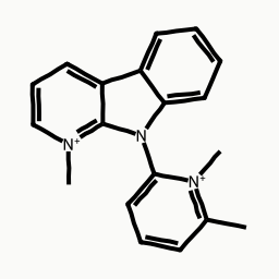 Cc1cccc(-n2c3ccccc3c3ccc[n+](C)c32)[n+]1C